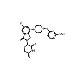 CSc1nccc(CN2CCN(c3cc(F)cc4c3CN(C3CCC(=O)NC3=O)C4=O)CC2)n1